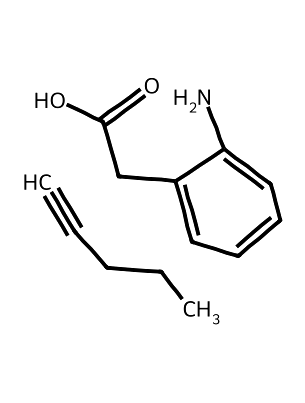 C#CCCC.Nc1ccccc1CC(=O)O